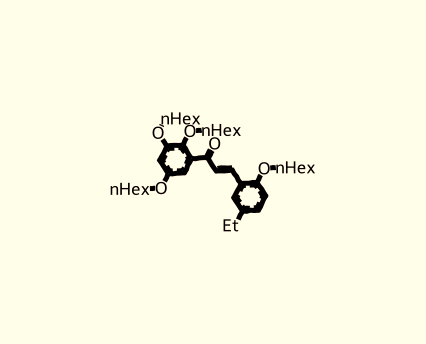 CCCCCCOc1cc(OCCCCCC)c(OCCCCCC)c(C(=O)C=Cc2cc(CC)ccc2OCCCCCC)c1